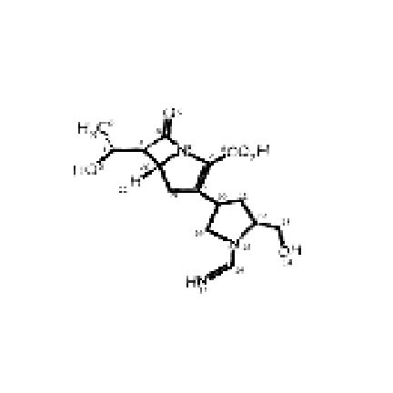 C[C@@H](O)[C@H]1C(=O)N2C(C(=O)O)=C(C3C[C@@H](CO)N(C=N)C3)C[C@H]12